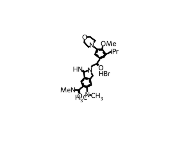 Br.CNC(=O)c1cc2c(cc1N(C)C)CN(CC(=O)c1cc(C(C)C)c(OC)c(N3CCOCC3)c1)C2=N